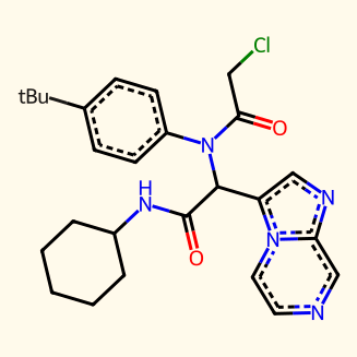 CC(C)(C)c1ccc(N(C(=O)CCl)C(C(=O)NC2CCCCC2)c2cnc3cnccn23)cc1